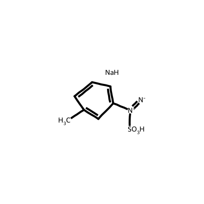 Cc1cccc([N+](=[N-])S(=O)(=O)O)c1.[NaH]